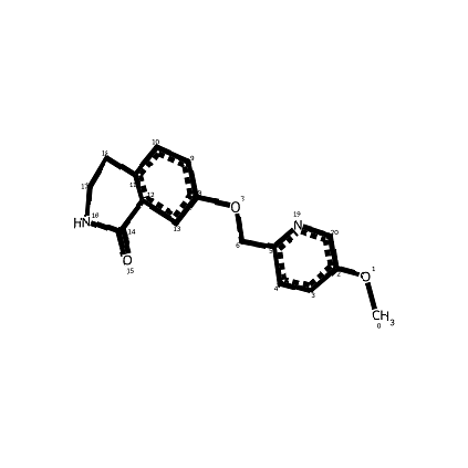 COc1ccc(COc2ccc3c(c2)C(=O)NCC3)nc1